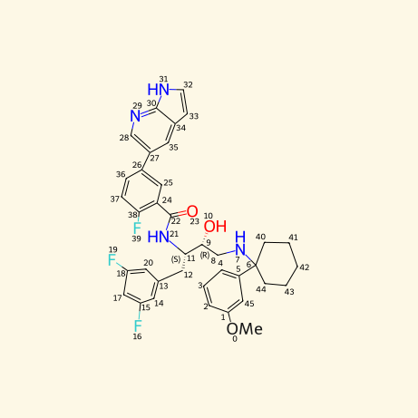 COc1cccc(C2(NC[C@@H](O)[C@H](Cc3cc(F)cc(F)c3)NC(=O)c3cc(-c4cnc5[nH]ccc5c4)ccc3F)CCCCC2)c1